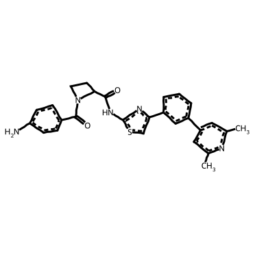 Cc1cc(-c2cccc(-c3csc(NC(=O)C4CCN4C(=O)c4ccc(N)cc4)n3)c2)cc(C)n1